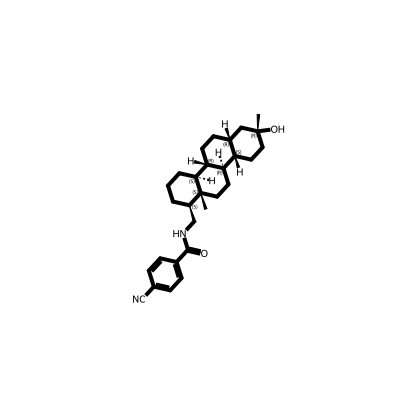 C[C@@]1(O)CC[C@H]2[C@H](CC[C@@H]3[C@@H]2CC[C@]2(C)[C@@H](CNC(=O)c4ccc(C#N)cc4)CCC[C@@H]32)C1